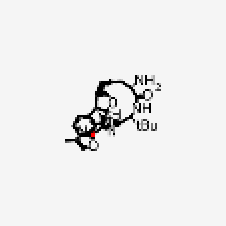 Cc1coc(-c2nc3oc2[C@@]24c5ccccc5N[C@@H]2Oc2ccc(cc24)C[C@H](N)C(=O)N[C@H]3C(C)(C)C)n1